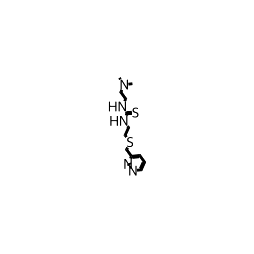 CN(C)CCNC(=S)NCCSCc1cccnn1